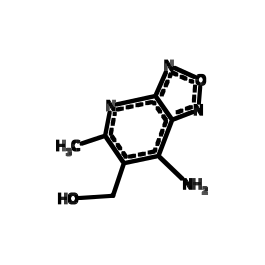 Cc1nc2nonc2c(N)c1CO